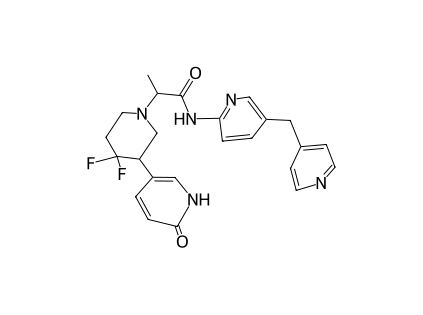 CC(C(=O)Nc1ccc(Cc2ccncc2)cn1)N1CCC(F)(F)C(c2ccc(=O)[nH]c2)C1